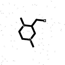 CN1CCN(C)C(CCl)C1